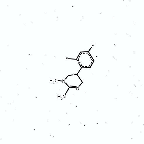 CN1CC(c2ccc(F)cc2F)CN=C1N